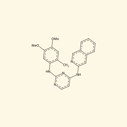 COc1cc(C)c(Nc2nccc(Nc3cc4ccccc4cn3)n2)cc1OC